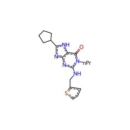 CCCn1c(NCc2cccs2)nc2nc(C3CCCC3)[nH]c2c1=O